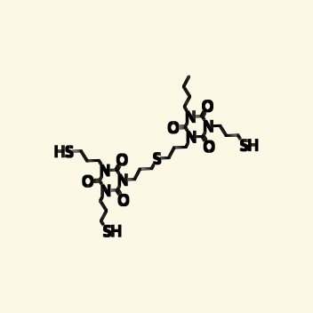 CCCCn1c(=O)n(CCCS)c(=O)n(CCCSCCCn2c(=O)n(CCCS)c(=O)n(CCCS)c2=O)c1=O